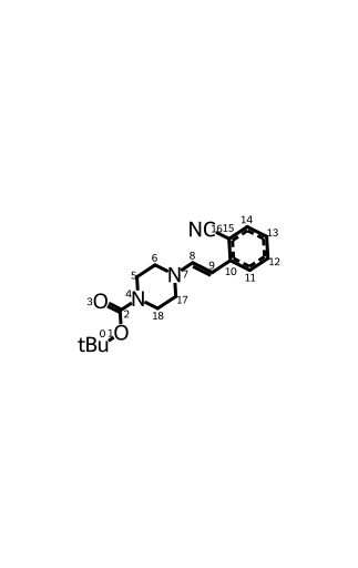 CC(C)(C)OC(=O)N1CCN(C=Cc2ccccc2C#N)CC1